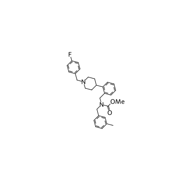 COC(=O)N(Cc1cccc(C)c1)Cc1ccccc1C1CCN(Cc2ccc(F)cc2)CC1